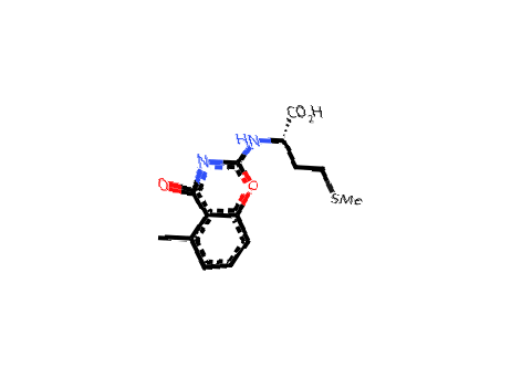 CSCC[C@H](Nc1nc(=O)c2c(C)cccc2o1)C(=O)O